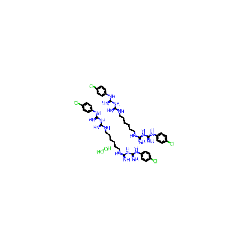 Cl.Cl.N=C(NCCCCCCNC(=N)NC(=N)Nc1ccc(Cl)cc1)NC(=N)Nc1ccc(Cl)cc1.N=C(NCCCCCCNC(=N)NC(=N)Nc1ccc(Cl)cc1)NC(=N)Nc1ccc(Cl)cc1